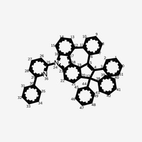 c1ccc(C2=C3c4ccccc4-c4cccc5c4c4c3c(ccc4n5-c3cccc(-c4ccccc4)n3)C2(c2ccccc2)c2ccccc2)cc1